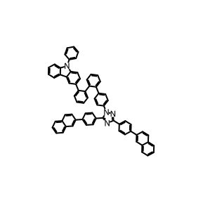 c1ccc(-n2c3ccccc3c3cc(-c4ccccc4-c4ccccc4-c4ccc(-n5nc(-c6ccc(-c7ccc8ccccc8c7)cc6)nc5-c5ccc(-c6ccc7ccccc7c6)cc5)cc4)ccc32)cc1